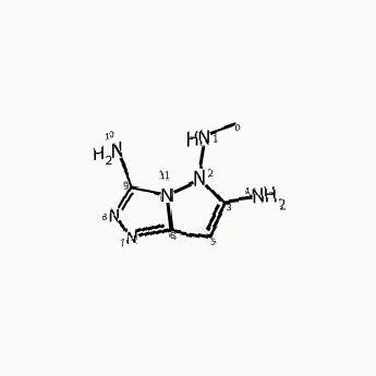 CNn1c(N)cc2nnc(N)n21